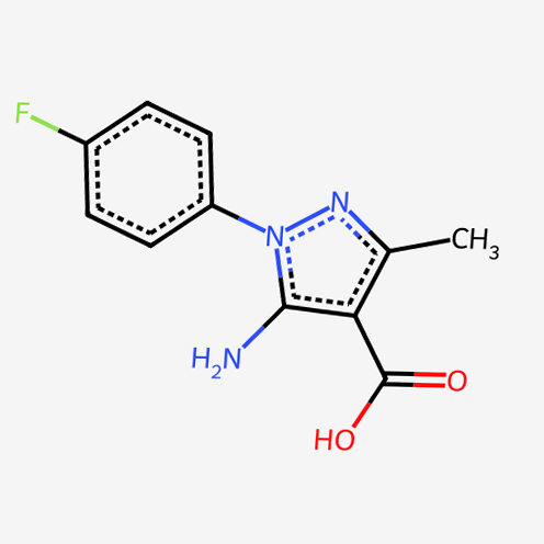 Cc1nn(-c2ccc(F)cc2)c(N)c1C(=O)O